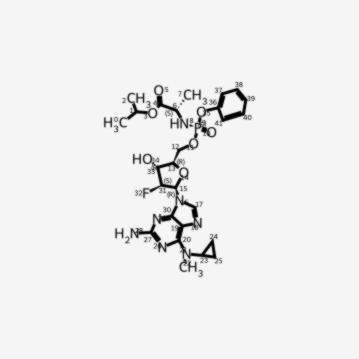 CC(C)OC(=O)[C@H](C)N[P@](=O)(OC[C@H]1O[C@@H](n2cnc3c(N(C)C4CC4)nc(N)nc32)[C@@H](F)[C@@H]1O)Oc1ccccc1